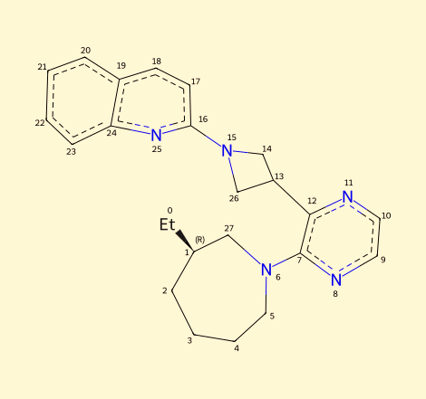 CC[C@@H]1CCCCN(c2nccnc2C2CN(c3ccc4ccccc4n3)C2)C1